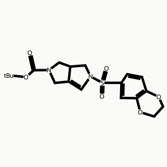 CC(C)(C)OC(=O)N1CC2=CN(S(=O)(=O)c3ccc4c(c3)OCCO4)CC2C1